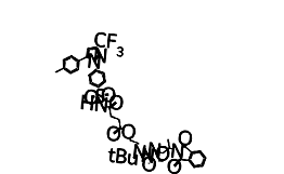 Cc1ccc(-c2cc(C(F)(F)F)nn2-c2ccc(S(=O)(=O)NC(=O)CCC(=O)OCCN([N+]([O-])=NOC(C)N3C(=O)c4ccccc4C3=O)C(C)(C)C)cc2)cc1